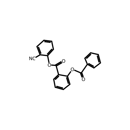 N#Cc1ccccc1OC(=O)c1ccccc1OC(=O)c1ccccc1